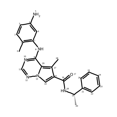 Cc1ccc(N)cc1Nc1ncnn2cc(C(=O)N[C@@H](C)c3ccccc3)c(C)c12